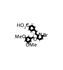 COc1cc(COc2ccc(Br)nc2CCc2ccc(C(=O)O)cc2)cc(OC)c1